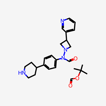 CC(C)(C)OC=O.O=CN(c1ccc(C2CCNCC2)cc1)N1CC(c2cccnc2)C1